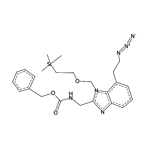 C[Si](C)(C)CCOCn1c(CNC(=O)OCc2ccccc2)nc2cccc(CCN=[N+]=[N-])c21